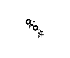 FC(F)(F)COc1ccc(C(F)(F)c2ccccc2)cc1